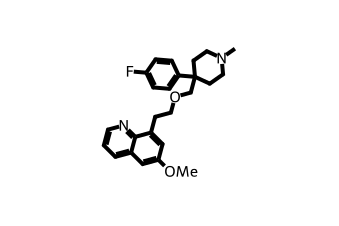 COc1cc(CCOCC2(c3ccc(F)cc3)CCN(C)CC2)c2ncccc2c1